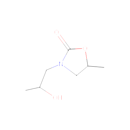 CC(O)CN1CC(C)OC1=O